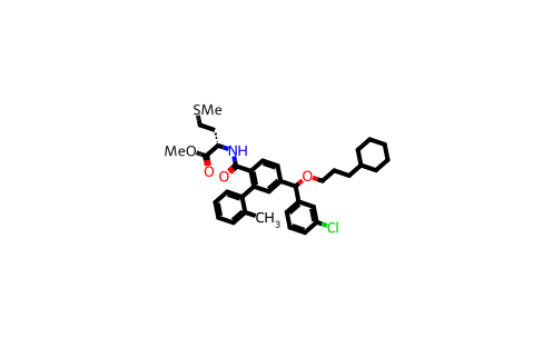 COC(=O)[C@H](CCSC)NC(=O)c1ccc(C(OCCCC2CCCCC2)c2cccc(Cl)c2)cc1-c1ccccc1C